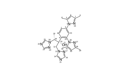 Cc1cc(C)n(-c2ccc([C@@](O)(Cn3cncn3)[C@@H](C)n3cncn3)c(-n3nc(C)cc3C)c2)n1